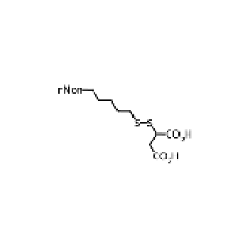 CCCCCCCCCCCCCCSSC(CC(=O)O)C(=O)O